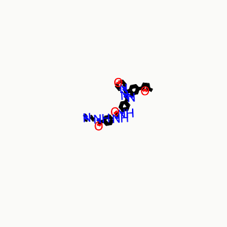 Cc1ccc(-c2ccc3c(N4CCOCC4)nc(-c4ccc(NC(=O)Nc5ccc(C(=O)NCCN(C)C)cc5)cc4)nc3c2)o1